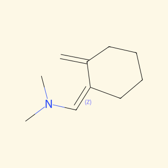 C=C1CCCC/C1=C/N(C)C